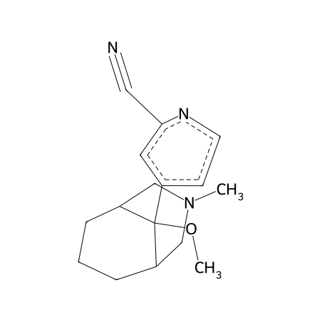 COC1(c2ccnc(C#N)c2)C2CCCC1CN(C)C2